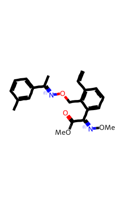 C=Cc1cccc(/C(=N\OC)C(=O)OC)c1CO/N=C(\C)c1cccc(C)c1